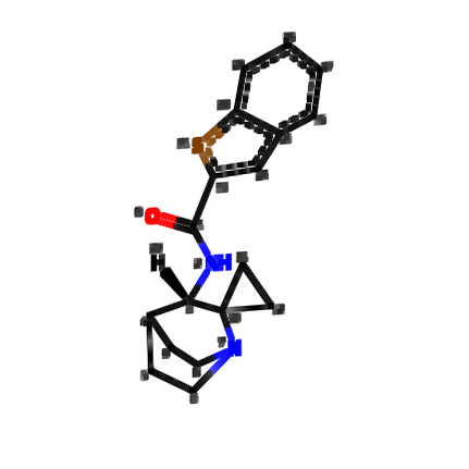 O=C(N[C@H]1C2CCN(CC2)C12CC2)c1cc2ccccc2s1